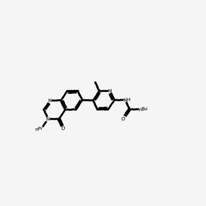 CCCCC(=O)Nc1ccc(-c2ccc3ncn(CCC)c(=O)c3c2)c(C)n1